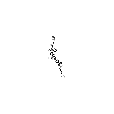 CCCCCCOC(=O)/N=C(\N)c1ccc(NCc2nc3cc(C(=O)N(CCC(=O)OCCN4CCOCC4)c4ccccn4)ccc3n2C)cc1